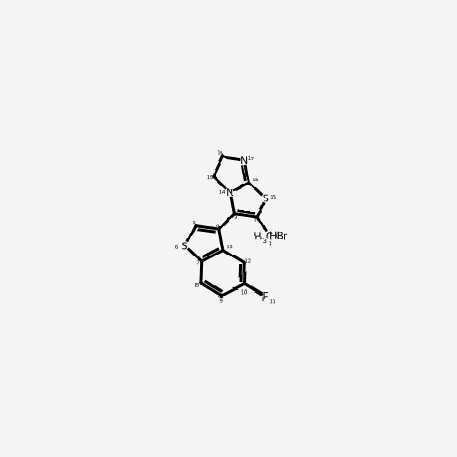 Br.CC1=C(c2csc3ccc(F)cc23)N2CCN=C2S1